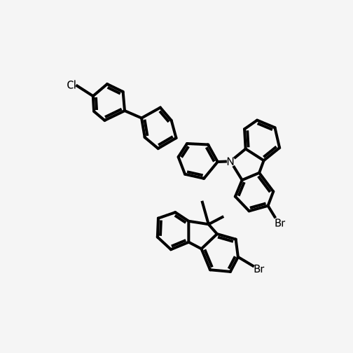 Brc1ccc2c(c1)c1ccccc1n2-c1ccccc1.CC1(C)c2ccccc2-c2ccc(Br)cc21.Clc1ccc(-c2ccccc2)cc1